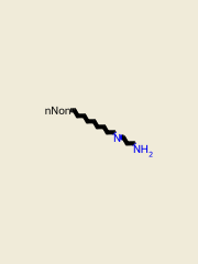 CCCCCCCCCCCCCCCCCCN=CCCN